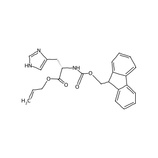 C=CCOC(=O)[C@H](Cc1c[nH]cn1)NC(=O)OCC1c2ccccc2-c2ccccc21